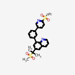 CCCS(=O)(=O)c1ccc(-c2cccc(-c3cc(C(C)(C)S(C)(=O)=O)cc4cccnc34)c2)cn1